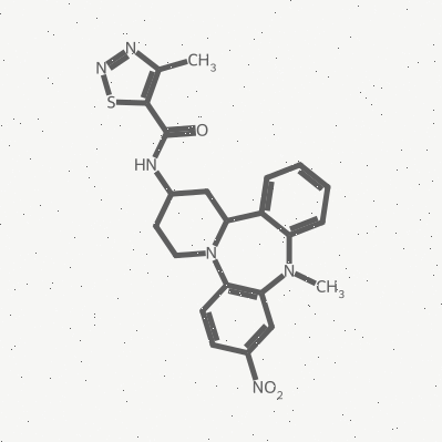 Cc1nnsc1C(=O)NC1CCN2c3ccc([N+](=O)[O-])cc3N(C)c3ccccc3C2C1